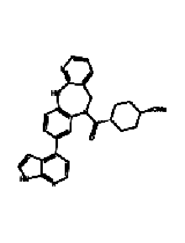 CO[C@H]1CC[C@H](C(=O)N2Cc3cccnc3Nc3ccc(-c4ccnc5[nH]ccc45)cc32)CC1